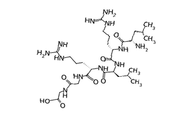 CC(C)C[C@H](NC(=O)[C@H](CCCNC(=N)N)NC(=O)[C@@H](N)CC(C)C)C(=O)N[C@@H](CCCNC(=N)N)C(=O)NCC(=O)NCC(=O)O